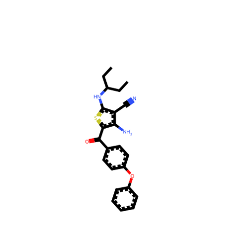 CCC(CC)Nc1sc(C(=O)c2ccc(Oc3ccccc3)cc2)c(N)c1C#N